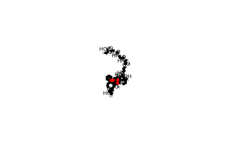 CCC(CO)OC(COC(=O)NCCC(=O)NC(C)C(=O)OCCCNC[C@]1(O)C2N(C)c3cc(OC)c([C@@]4(C(=O)OC)CC5CN(CCc6c4[nH]c4ccccc64)CC(O)(CC)C5)cc3C23CCN2CC=C[C@](CC)(C23)[C@H]1O)OC